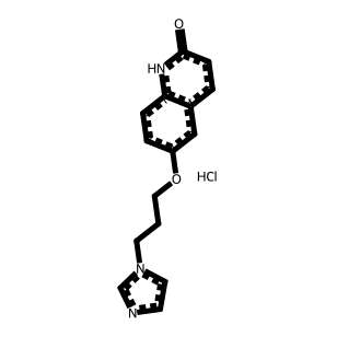 Cl.O=c1ccc2cc(OCCCn3ccnc3)ccc2[nH]1